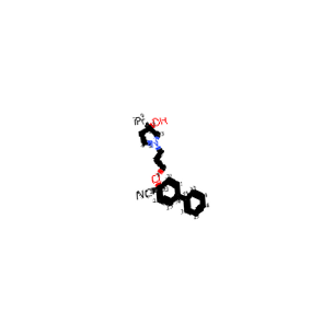 CC(C)C1(O)CCN(CCCOC2(C#N)C=CC(c3ccccc3)C=C2)C1